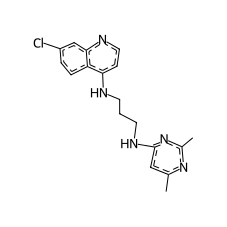 Cc1cc(NCCCNc2ccnc3cc(Cl)ccc23)nc(C)n1